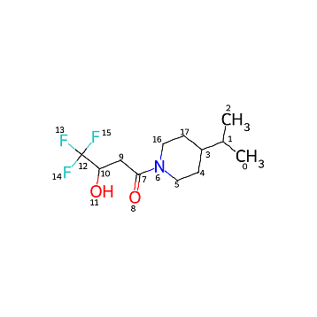 CC(C)C1CCN(C(=O)CC(O)C(F)(F)F)CC1